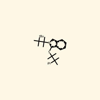 CC(C)C(C)(C)C(C)(C)Sc1c2ccccc2cn1C(C)(C)C(C)(C)C(C)(C)C